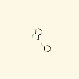 O=C(OCc1ccccc1)c1cccc(Br)c1C(F)F